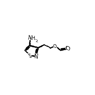 Nc1csnc1CCOC=O